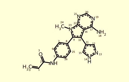 C=CC(=O)Nc1ccc(-c2c(-c3cn[nH]c3)c3c(N)ncnc3n2C)cc1